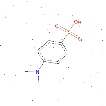 CN(C)c1ccc(S(=O)(=O)O)cc1